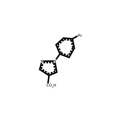 CC(=O)c1ccc(-n2cc(C(=O)O)cn2)cc1